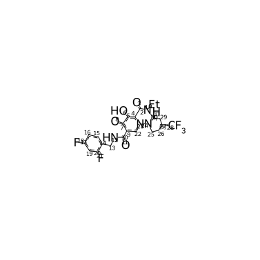 CCN1C(=O)c2c(O)c(=O)c(C(=O)NCc3ccc(F)cc3F)cn2N2CC[C@H](C(F)(F)F)C[C@@H]12